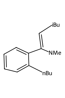 CCCCc1ccccc1/C(=C/C(C)CC)NC